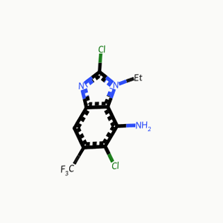 CCn1c(Cl)nc2cc(C(F)(F)F)c(Cl)c(N)c21